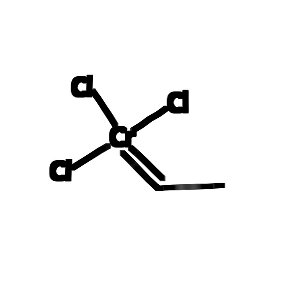 C[CH]=[Cr]([Cl])([Cl])[Cl]